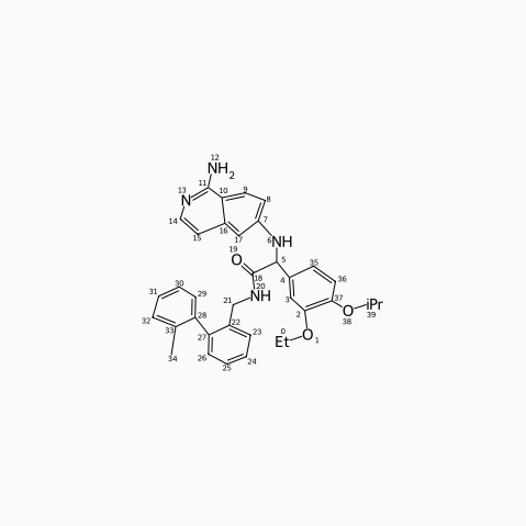 CCOc1cc(C(Nc2ccc3c(N)nccc3c2)C(=O)NCc2ccccc2-c2ccccc2C)ccc1OC(C)C